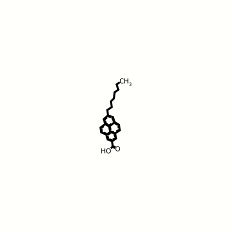 CCCCCCCCc1cc2ccc3cc(C(=O)O)cc4ccc(c1)c2c34